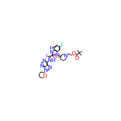 CC(C)(C)C(=O)OCCN1CCC[C@@H](Nc2cc(F)ccc2NC(=O)[C@H](I)Nc2ncnc3c2ncn3C2CCCCO2)C1